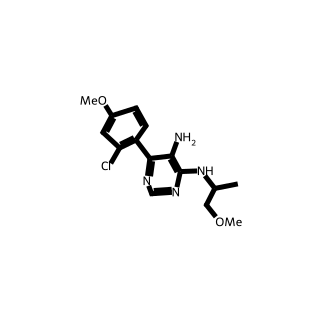 COCC(C)Nc1ncnc(-c2ccc(OC)cc2Cl)c1N